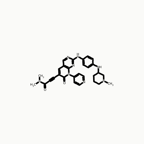 CN1CCCC(Nc2ccc(Nc3ncc4cc(C#CC(=O)N(C)C)c(=O)n(-c5ccncc5)c4n3)cc2)C1